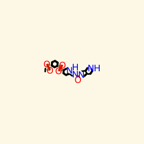 CCS(=O)(=O)c1cccc(S(=O)(=O)c2ccc(CNC(=O)N3C=C4C=CNC=C4C3)nc2)c1